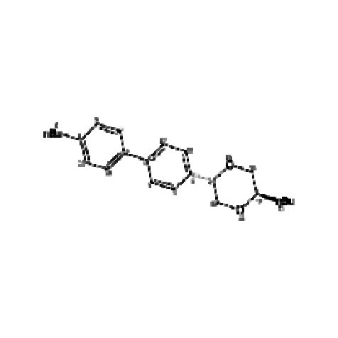 CCCCc1ccc(-c2ccc([C@H]3CO[C@H](CCCC)CO3)cc2)cc1